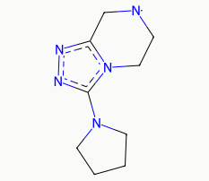 C1CCN(c2nnc3n2CC[N]C3)C1